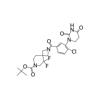 CC(C)(C)OC(=O)N1CCC2(CN(C(=O)c3ccc(Cl)c(N4CCC(=O)NC4=O)c3)C2)C(F)(F)C1